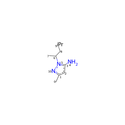 Cc1cc(N)n(C(C)CC(C)C)n1